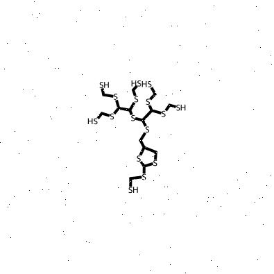 SCSC1SCC(CSC(SC(SCS)C(SCS)SCS)C(SCS)SCS)S1